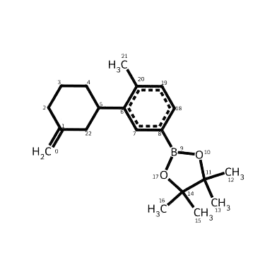 C=C1CCCC(c2cc(B3OC(C)(C)C(C)(C)O3)ccc2C)C1